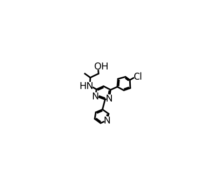 CC(CO)Nc1cc(-c2ccc(Cl)cc2)nc(-c2cccnc2)n1